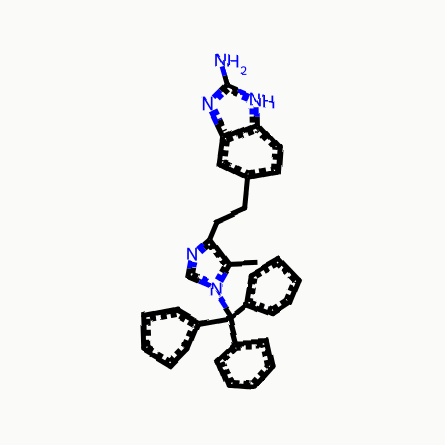 Cc1c(CCc2ccc3[nH]c(N)nc3c2)ncn1C(c1ccccc1)(c1ccccc1)c1ccccc1